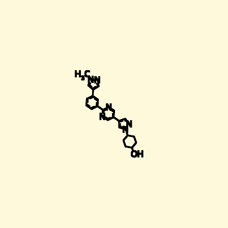 Cn1cc(-c2cccc(-c3ncc(-c4cnn(C5CCC(O)CC5)c4)cn3)c2)cn1